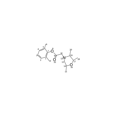 Cc1cccc(C)c1OC(=O)CN1CC(C)OC(C)C1C